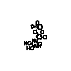 N#CC1=NN(c2cc(Cl)c(Oc3ccc(=O)n(C4CCC4)c3)c(Cl)c2)C(=O)NC1O